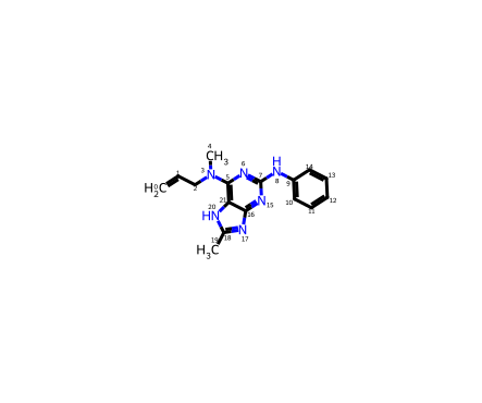 C=CCN(C)c1nc(Nc2ccccc2)nc2nc(C)[nH]c12